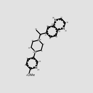 COc1ccc(N2CCN(C(C)c3ccc4nccnc4c3)CC2)cn1